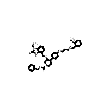 CCn1c(=O)[nH]c2c(COC3CN(C(=O)OCc4ccccc4)CCC3c3ccc(OCCCOCc4ccccc4OC)cc3)cccc21